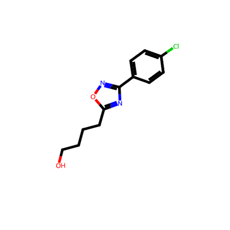 OCCCCc1nc(-c2ccc(Cl)cc2)no1